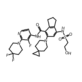 O=C(Nc1ccnc(N2CCC(F)(F)CC2)c1F)c1c(N2CCC3(CC2)CC3)cc(NS(=O)(=O)CCO)c2c1CCC2